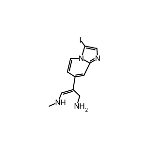 CN/C=C(\CN)c1ccn2c(I)cnc2c1